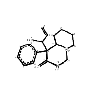 C=CC(N)C1(c2ccccc2)C(=O)NCN2CCCCC21